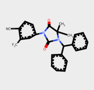 CC1(C)C(=O)N(c2ccc(C#N)c(C(F)(F)F)c2)C(=O)N1C(c1ccccc1)c1ccccc1